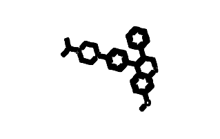 COc1ccc2c(c1)SCC(c1ccccc1)=C2c1ccc(N2CCN(C(C)C)CC2)cc1